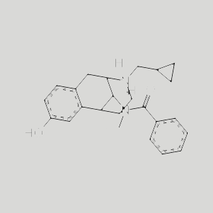 CN(C(=O)c1ccccc1)[C@@H]1[C@H]2Cc3ccc(O)cc3[C@]1(C)CCN2CC1CC1